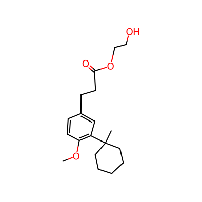 COc1ccc(CCC(=O)OCCO)cc1C1(C)CCCCC1